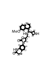 COc1ccc2nccc(C(NCC3CN(c4ccc5c(c4)NC(=O)CS5)C(=O)O3)C3CNC3)c2c1